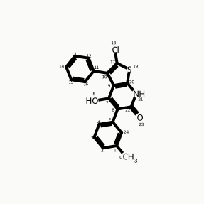 Cc1cccc(-c2c(O)c3c(-c4ccccc4)c(Cl)sc3[nH]c2=O)c1